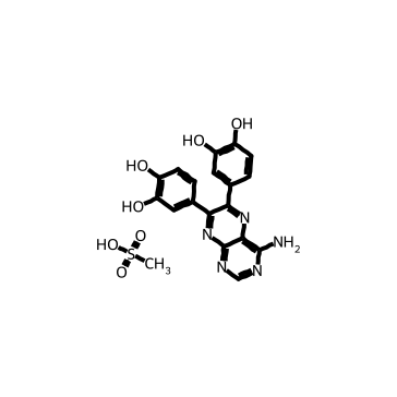 CS(=O)(=O)O.Nc1ncnc2nc(-c3ccc(O)c(O)c3)c(-c3ccc(O)c(O)c3)nc12